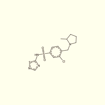 CC1CCCN1Cc1ccc(S(=O)(=O)Nc2ncns2)cc1Cl